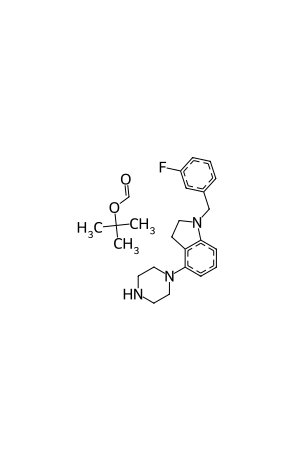 CC(C)(C)OC=O.Fc1cccc(CN2CCc3c(N4CCNCC4)cccc32)c1